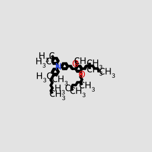 CCCCCCC(C)(C)c1ccc(N(c2ccc(C=Cc3cc(OCCC(C)CCCC(C)C)c(C=CC(C)(C)CCCCC)cc3OC)cc2)c2ccc(C)c(C)c2)cc1